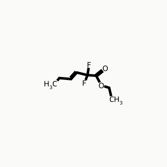 CCC=CC(F)(F)C(=O)OCC